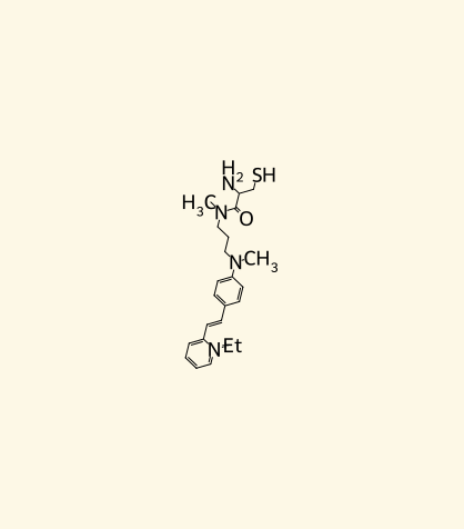 CC[n+]1ccccc1/C=C/c1ccc(N(C)CCCN(C)C(=O)C(N)CS)cc1